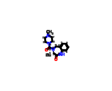 CC[C@H](C)[C@H]1C(=O)Nc2ccccc2CN1C(=O)N1CCN(C)CC1